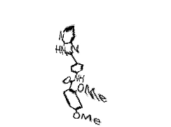 COc1ccc(C(=O)Nc2ccc(-c3nc4cccnc4[nH]3)cc2)c(OC)c1